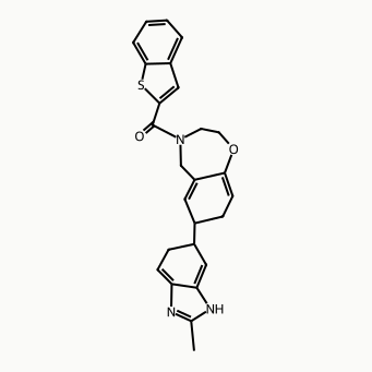 Cc1nc2c([nH]1)=CC(C1C=C3CN(C(=O)c4cc5ccccc5s4)CCOC3=CC1)CC=2